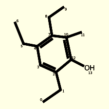 CCc1cc(CC)c(CC)c(C)c1O